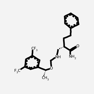 C[C@@H](OCNC[C@H](CCc1ccccc1)C(N)=O)c1cc(C(F)(F)F)cc(C(F)(F)F)c1